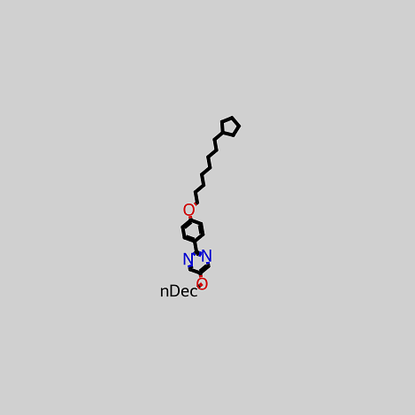 CCCCCCCCCCOc1cnc(-c2ccc(OCCCCCCCCC3CCCC3)cc2)nc1